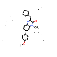 Cn1c(=O)c(Cc2ccccc2)nc2ccc(-c3ccc(OC(F)(F)F)cc3)cc21